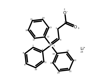 O=C([O-])CC=P(c1ccccc1)(c1ccccc1)c1ccccc1.[Li+]